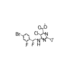 COC(=O)c1nc(C2CC2)nc(NCC(F)c2ccc(Br)cc2F)c1Cl